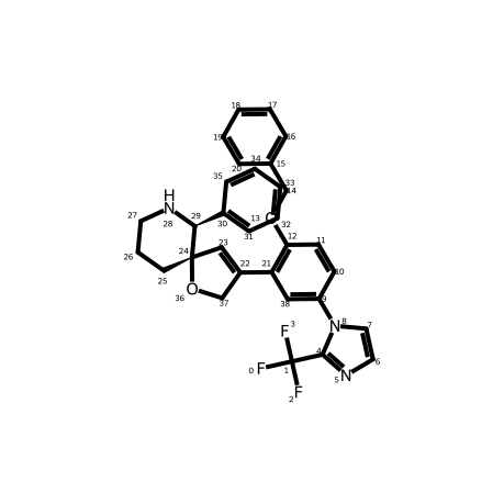 FC(F)(F)c1nccn1-c1ccc(OCc2ccccc2)c(C2=C[C@]3(CCCN[C@H]3c3ccccc3)OC2)c1